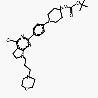 CC(C)(C)OC(=O)NC1CCN(c2ccc(-c3nc(Cl)c4c(n3)N(CCCN3CCOCC3)CC4)cc2)CC1